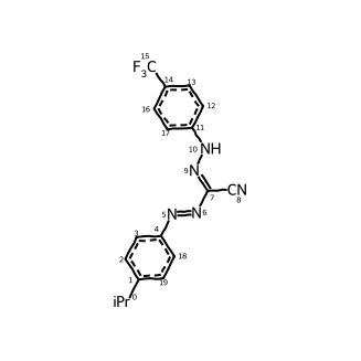 CC(C)c1ccc(N=NC(C#N)=NNc2ccc(C(F)(F)F)cc2)cc1